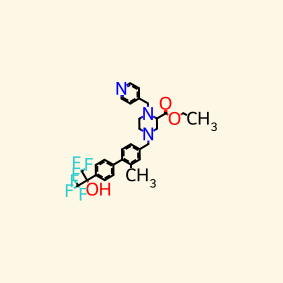 CCOC(=O)C1CN(Cc2ccc(-c3ccc(C(O)(C(F)(F)F)C(F)(F)F)cc3)c(C)c2)CCN1Cc1ccncc1